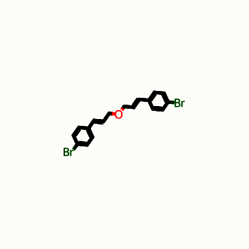 Brc1ccc(C=CCOCC=Cc2ccc(Br)cc2)cc1